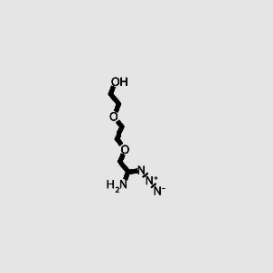 [N-]=[N+]=NC(N)COCCOCCO